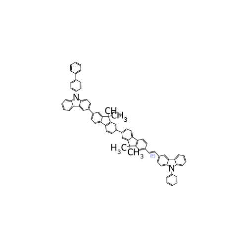 CC1(C)c2cc(/C=C/c3ccc4c(c3)c3ccccc3n4-c3ccccc3)ccc2-c2ccc(-c3ccc4c(c3)C(C)(C)c3cc(-c5ccc6c(c5)c5ccccc5n6-c5ccc(-c6ccccc6)cc5)ccc3-4)cc21